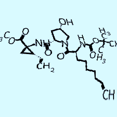 C=CCCCCC[C@H](NC(=O)OC(C)(C)C)C(=O)N1C[C@@H](O)C[C@H]1C(=O)N[C@]1(C(=O)OC)C[C@H]1C=C